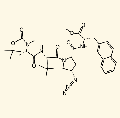 COC(=O)[C@H](Cc1ccc2ccccc2c1)NC(=O)[C@@H]1C[C@H](N=[N+]=[N-])CN1C(=O)[C@@H](NC(=O)[C@H](C)N(C)C(=O)OC(C)(C)C)C(C)(C)C